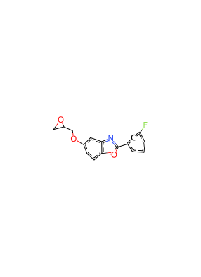 Fc1cccc(-c2nc3cc(OCC4CO4)ccc3o2)c1